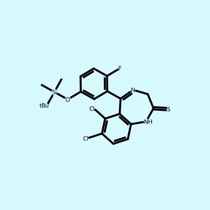 CC(C)(C)[Si](C)(C)Oc1ccc(F)c(C2=NCC(=S)Nc3ccc(Cl)c(Cl)c32)c1